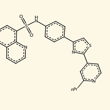 CCCc1cc(-c2nc(-c3ccc(NS(=O)(=O)c4cccc5cccnc45)cc3)cs2)ccn1